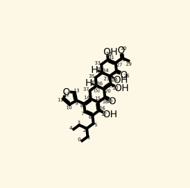 CCC(CC)Cc1cc(-c2ccoc2)c2c(c1O)C(=O)C1=C(O)[C@@]3(O)C(=O)C(C(C)=O)=C(O)C[C@H]3C[C@H]1C2